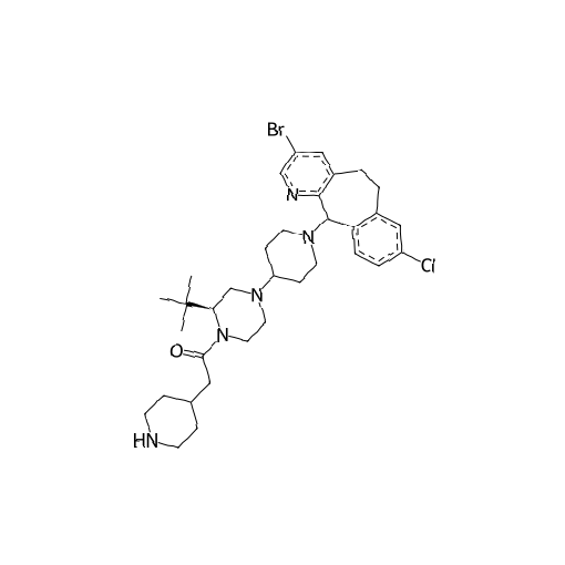 CC(C)(C)[C@H]1CN(C2CCN(C3c4ccc(Cl)cc4CCc4cc(Br)cnc43)CC2)CCN1C(=O)CC1CCNCC1